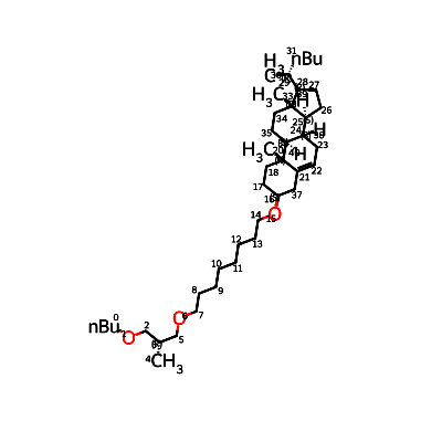 CCCCOC[C@@H](C)COCCCCCCCCO[C@H]1CC[C@@]2(C)C(=CC[C@H]3[C@@H]4CC[C@H]([C@H](C)CCCC)[C@@]4(C)CC[C@@H]32)C1